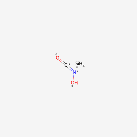 O=C=NO.[SiH4]